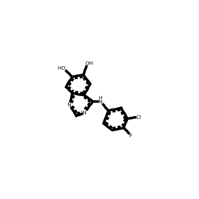 Oc1cc2ncnc(Nc3ccc(F)c(Cl)c3)c2cc1O